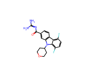 NC(N)=NC(=O)c1ccc2c3c(F)ccc(F)c3n(C3CCOCC3)c2c1